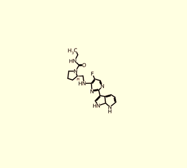 CCNC(=O)N1CCC[C@@H]1CNc1nc(C2=CNC3NC=CC=C23)ncc1F